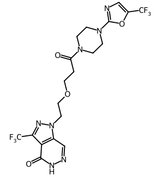 O=C(CCOCCn1nc(C(F)(F)F)c2c(=O)[nH]ncc21)N1CCN(c2ncc(C(F)(F)F)o2)CC1